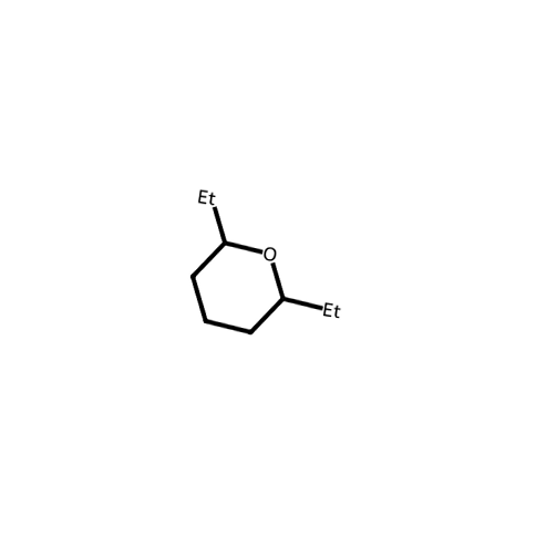 CCC1CCCC(CC)O1